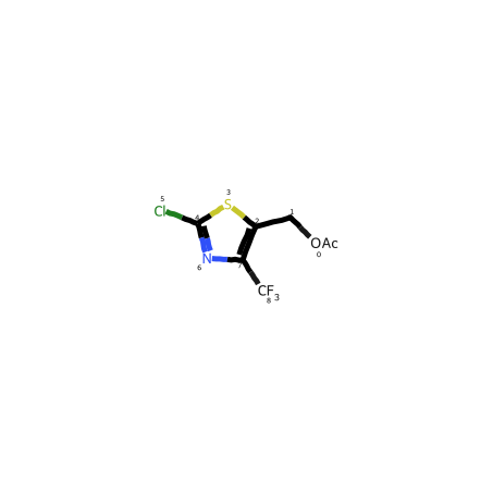 CC(=O)OCc1sc(Cl)nc1C(F)(F)F